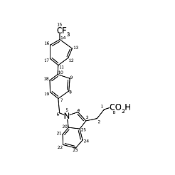 O=C(O)CCc1cn(Cc2ccc(-c3ccc(C(F)(F)F)cc3)cc2)c2ccccc12